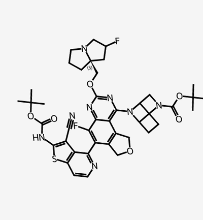 CC(C)(C)OC(=O)Nc1sc2ccnc(-c3c4c(c5c(N6C7CCC78C6CN8C(=O)OC(C)(C)C)nc(OC[C@@]67CCCN6CC(F)C7)nc5c3F)COC4)c2c1C#N